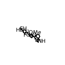 CBc1ccc(COc2ccc(C(CN3CCNCC3)C3(O)CCCCC3)cc2OC)c(F)c1